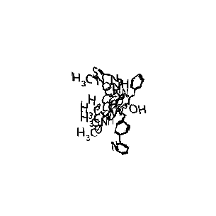 COC(=O)NC(C(=O)NN(Cc1ccc(-c2ccccn2)cc1)CC(O)C(Cc1ccccc1)NC(=O)C(N1CCN(Cc2csc(C)n2)C1=O)C(C)(C)C)C(C)(C)C